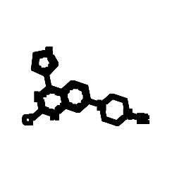 CCN1CCN(c2ccc3c(-c4ccsc4)nc(Cl)nc3c2)CC1